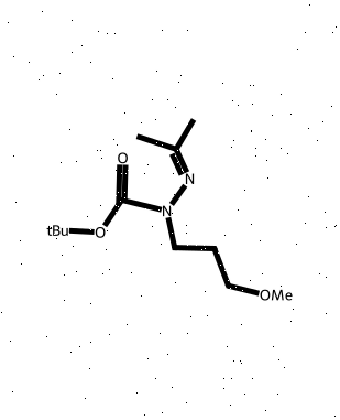 COCCCN(N=C(C)C)C(=O)OC(C)(C)C